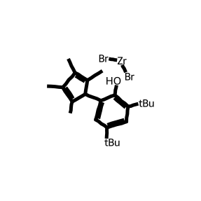 CC1=C(C)C(c2cc(C(C)(C)C)cc(C(C)(C)C)c2O)C(C)=C1C.[Br][Zr][Br]